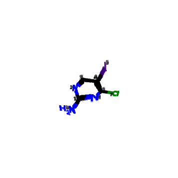 Nc1ncc(I)c(Cl)n1